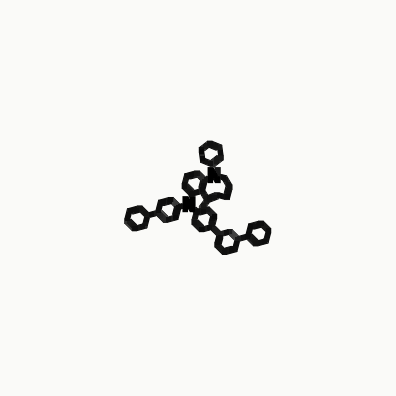 C/C1=C\C=C/CN(C2=CC=CCC2)c2cccc(N(c3ccc(C4=CC=CC(C5=CCCC=C5)C4)cc3)c3ccc(C4C=CC=CC4)cc3)c21